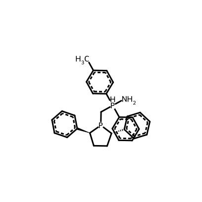 Cc1ccc([PH](N)(CP2[C@H](c3ccccc3)CC[C@H]2c2ccccc2)c2ccccc2)cc1